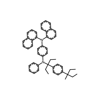 CCC(C)(CC)c1ccc(C(CC)(CC)N(c2ccccc2)c2ccc(N(c3cccc4ccccc34)c3cccc4ccccc34)cc2)cc1